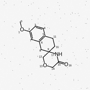 COc1ccc2c(c1)CC1(CC2)COCC(=O)N1